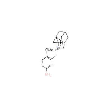 Bc1ccc(OC)c(C/C=C/CC23CC4CC5CC2(C3)C5C4)c1